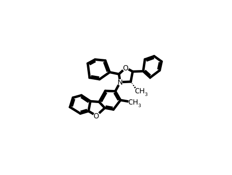 Cc1cc2oc3ccccc3c2cc1N1C(c2ccccc2)OC(c2ccccc2)[C@@H]1C